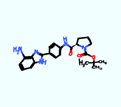 CC(C)(C)OC(=O)N1CCC[C@H]1C(=O)Nc1ccc(-c2nc3c(N)cccc3[nH]2)cc1